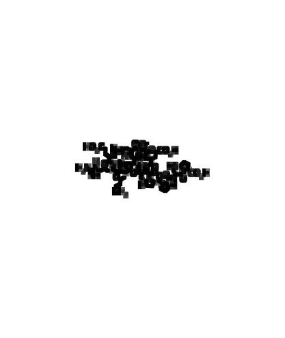 CC(C)[C@H](NC(=O)[C@H](CS)NC(=O)[C@H](CS)NC(=O)[C@H](CCCCN)NC(=O)[C@H](CCCNC(=N)N)NC(=O)[C@@H](N)CCC(=O)O)C(=O)N[C@@H](CCC(=O)O)C(=O)N[C@@H](CS)C(=O)N1CCC[C@H]1C(=O)N1CCC[C@H]1C(=O)N[C@@H](CS)C(=O)N1CCC[C@H]1C(=O)O